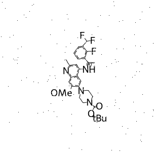 COc1cc2nc(C)cc(N[C@H](C)c3cccc(C(F)F)c3F)c2cc1N1CCN(C(=O)OC(C)(C)C)CC1